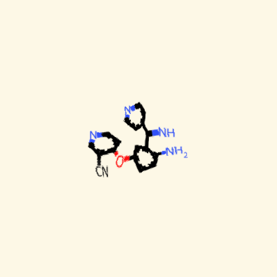 N#Cc1cnccc1Oc1ccc(N)c(C(=N)c2ccncc2)c1